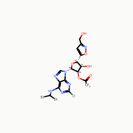 CCC(CC)Nc1nc(Cl)nc2c1ncn2[C@@H]1O[C@H](c2cc(CO)no2)[C@@H](O)[C@H]1OC(=O)C(F)(F)F